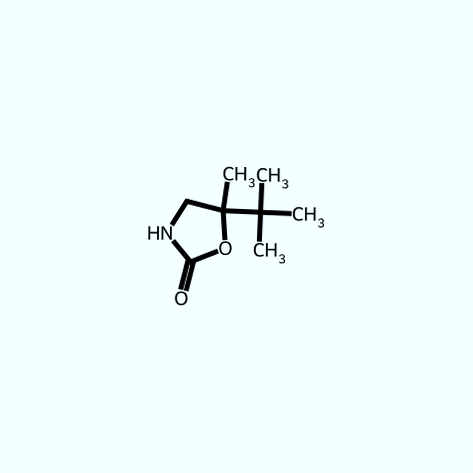 CC(C)(C)C1(C)CNC(=O)O1